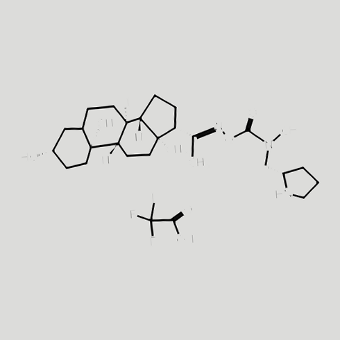 C/C(=N\OC(=O)N(C)C[C@@H]1CCCN1)[C@H]1CC[C@H]2[C@@H]3CCC4C[C@@H](O)CC[C@]4(C)[C@H]3CC[C@]12C.O=C(O)C(F)(F)F